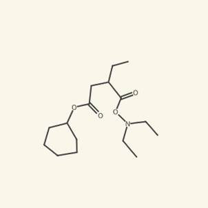 CCC(CC(=O)OC1CCCCC1)C(=O)ON(CC)CC